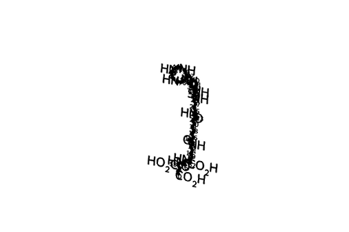 O=C(O)CCC(NC(=O)NC(CCCCNC(=O)CCCCCCC(=O)NCCCCNC(=S)Nc1ccc(CC2CNCCNCCNCCN2)cc1)C(=O)O)C(=O)O